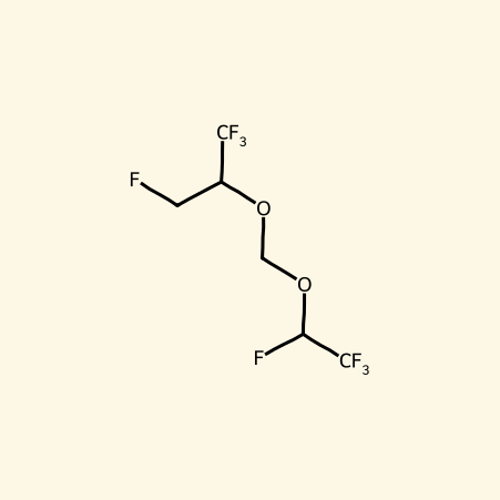 FCC(OCOC(F)C(F)(F)F)C(F)(F)F